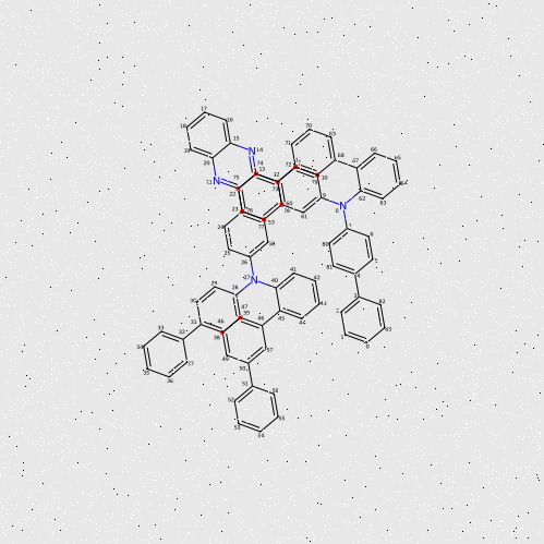 c1ccc(-c2ccc(N(c3ccc(-c4nc5ccccc5nc4-c4ccc(N(c5ccc(-c6ccccc6)cc5)c5ccccc5-c5cccc(-c6ccccc6)c5)cc4)cc3)c3ccccc3-c3cccc(-c4ccccc4)c3)cc2)cc1